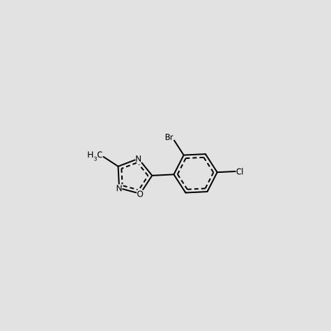 Cc1noc(-c2ccc(Cl)cc2Br)n1